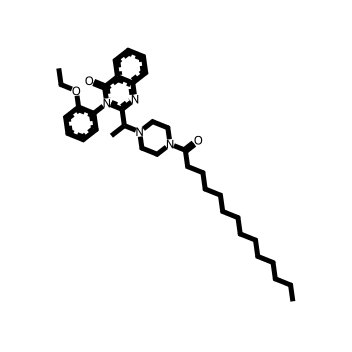 CCCCCCCCCCCCCC(=O)N1CCN(C(C)c2nc3ccccc3c(=O)n2-c2ccccc2OCC)CC1